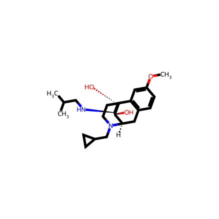 COc1ccc2c(c1)C13CCN(CC4CC4)[C@H](C2)[C@]1(O)C[C@@H](NCC(C)C)[C@H](O)C3